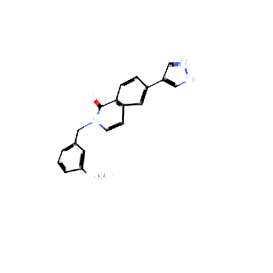 COc1cccc(Cn2ccc3cc(-c4cn[nH]c4)ccc3c2=O)c1